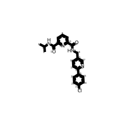 CC(C)NC(=O)c1cccc(C(=O)NCc2ccc(-c3ccc(Cl)cc3)nc2)n1